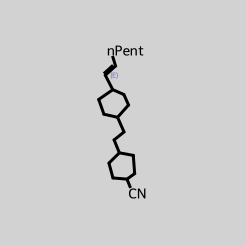 CCCCC/C=C/C1CCC(CCC2CCC(C#N)CC2)CC1